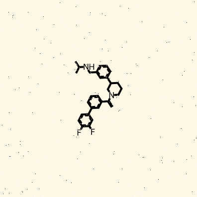 C=C(c1cccc(-c2ccc(F)c(F)c2)c1)N1CCCC(c2cccc(CNC(C)C)c2)C1